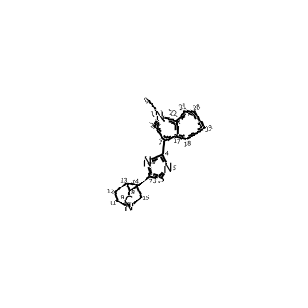 Cn1cc(-c2nsc(C3CN4CCC3CC4)n2)c2ccccc21